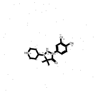 CC1(C)C(=O)[SH](c2ccc(C#N)c(C(F)(F)F)c2)NN1C1CCNCC1